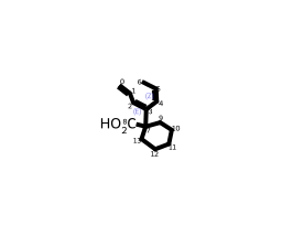 C=C/C=C(\C=C/C)C1(C(=O)O)CCCCC1